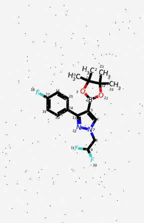 CC1(C)OB(c2cn(CC(F)F)nc2-c2ccc(F)cc2)OC1(C)C